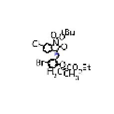 CCOC(=O)C(C)(C)Oc1ccc(Br)cc1/C=C1/C(=O)N(C(=O)OC(C)(C)C)c2cc(Cl)ccc21